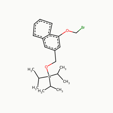 CC(C)[Si](OCc1cc(OCBr)c2ccccc2c1)(C(C)C)C(C)C